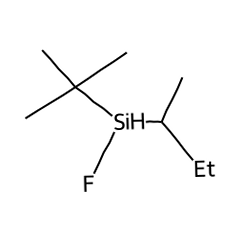 CCC(C)[SiH](F)C(C)(C)C